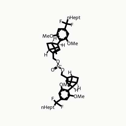 CCCCCCCC(F)(F)c1cc(OC)c([C@H]2C=C(CO[N+](=O)OCC3=C[C@H](c4c(OC)cc(C(F)(F)CCCCCCC)cc4OC)[C@@H]4C[C@@H]3C4(C)C)[C@@H]3C[C@@H]2C3(C)C)c(OC)c1